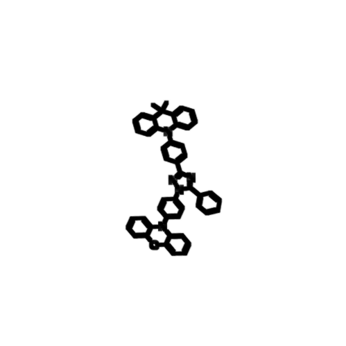 CC1(C)c2ccccc2N(c2ccc(-c3nc(-c4ccccc4)n(-c4ccc(N5c6ccccc6Oc6ccccc65)cc4)n3)cc2)c2ccccc21